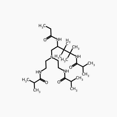 CCC(=O)NC(CN(CCNC(=O)C(C)C)CCNC(=O)C(C)C)C(C)(C)C(C)(C)NC(=O)C(C)C